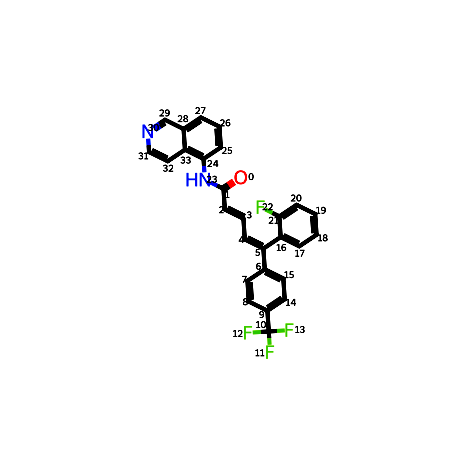 O=C(/C=C/C=C(/c1ccc(C(F)(F)F)cc1)c1ccccc1F)Nc1cccc2cnccc12